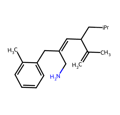 C=C(C)C(/C=C(\CN)Cc1ccccc1C)CC(C)C